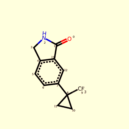 O=C1NCc2ccc(C3(C(F)(F)F)CC3)cc21